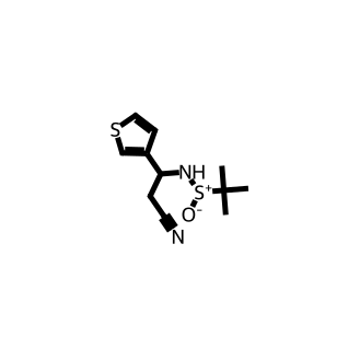 CC(C)(C)[S+]([O-])NC(CC#N)c1ccsc1